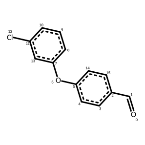 O=Cc1ccc(Oc2cccc(Cl)c2)cc1